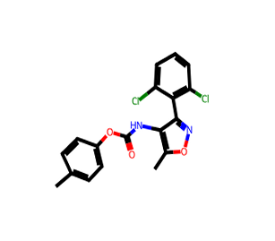 Cc1ccc(OC(=O)Nc2c(-c3c(Cl)cccc3Cl)noc2C)cc1